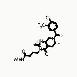 CNC(=O)CCCn1c(=S)[nH]c2c(c1=O)C[C@@H](C)N(C(=O)c1ccc(Cl)c(C(F)(F)F)c1)C2